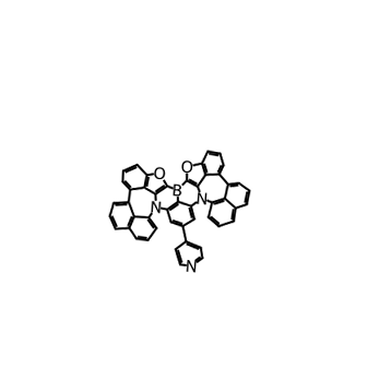 c1cc2cccc3c2c(c1)c1cccc2oc4c(c21)n3-c1cc(-c2ccncc2)cc2c1B4c1oc3cccc4c5cccc6cccc(c65)n-2c1c34